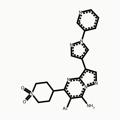 CC(=O)c1c(C2CCS(=O)(=O)CC2)nc2c(-c3cnn(-c4cccnc4)c3)cnn2c1N